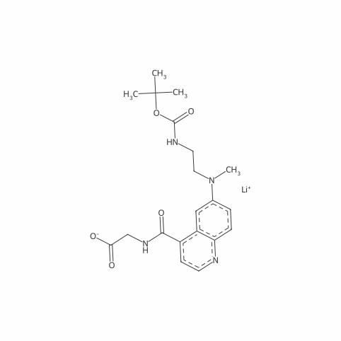 CN(CCNC(=O)OC(C)(C)C)c1ccc2nccc(C(=O)NCC(=O)[O-])c2c1.[Li+]